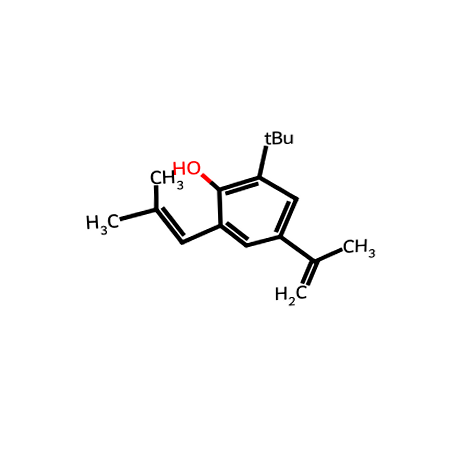 C=C(C)c1cc(C=C(C)C)c(O)c(C(C)(C)C)c1